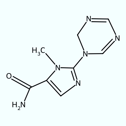 Cn1c(C(N)=O)cnc1N1C=NC=NC1